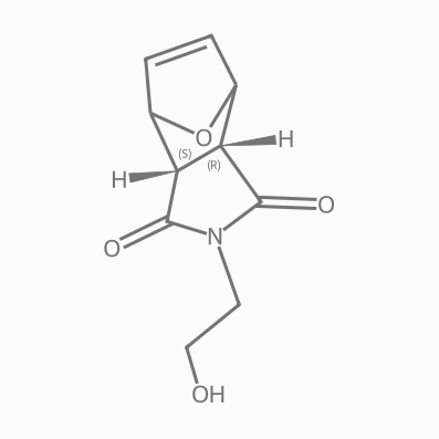 O=C1[C@@H]2C3C=CC(O3)[C@@H]2C(=O)N1CCO